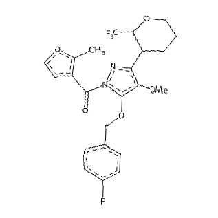 COc1c(C2CCCOC2C(F)(F)F)nn(C(=O)c2ccoc2C)c1OCc1ccc(F)cc1